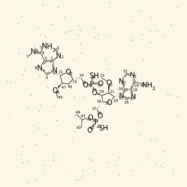 C=Nc1c(/C(N)=N\C)ncn1[C@@H]1O[C@H](COP(=O)(S)O[C@H]2[C@@H](OC)[C@H](n3cnc4c(N)ncnc43)O[C@@H]2COP(=O)(S)OC(C)C)C[C@H]1OC